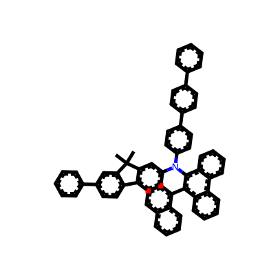 CC1(C)c2cc(-c3ccccc3)ccc2-c2ccc(N(c3ccc(-c4ccc(-c5ccccc5)cc4)cc3)c3c(-c4cccc5ccccc45)c4ccccc4c4ccccc34)cc21